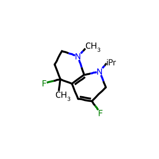 CC(C)N1CC(F)=CC2=C1N(C)CCC2(C)F